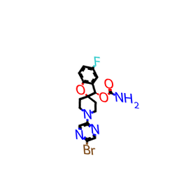 NC(=O)O[C@@H]1c2cc(F)ccc2OC12CCN(c1cnc(Br)cn1)CC2